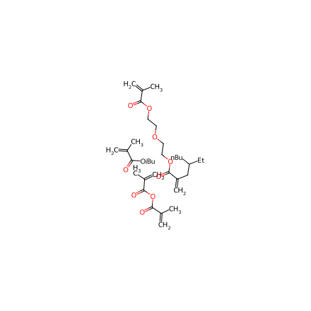 C=C(C)C(=O)OC(=O)C(=C)C.C=C(C)C(=O)OCC(C)C.C=C(C)C(=O)OCCOCCOC(=O)C(=C)CC(CC)CCCC